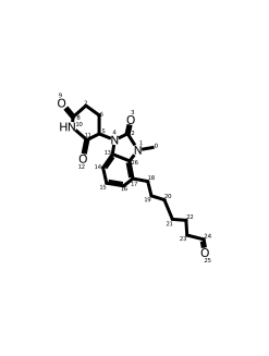 Cn1c(=O)n(C2CCC(=O)NC2=O)c2cccc(CCCCCCC=O)c21